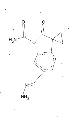 NN=Cc1ccc(C2(C(=O)OC(N)=O)CC2)cc1